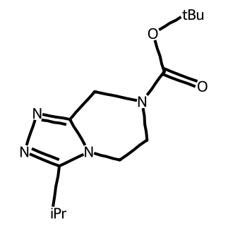 CC(C)c1nnc2n1CCN(C(=O)OC(C)(C)C)C2